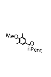 CCCCCC(=O)c1cc(C)c(OC)c(C)c1